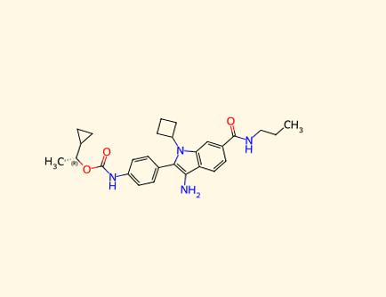 CCCNC(=O)c1ccc2c(N)c(-c3ccc(NC(=O)O[C@H](C)C4CC4)cc3)n(C3CCC3)c2c1